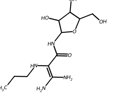 CCCNC(C(=O)NC1OC(CO)C(O)C1O)=C(N)N